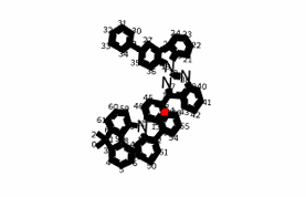 CC1(C)c2ccccc2-c2c(N(c3ccc(-c4nc(-n5c6ccccc6c6cc(-c7ccccc7)ccc65)nc5ccccc45)cc3)c3ccccc3-c3ccccc3)cccc21